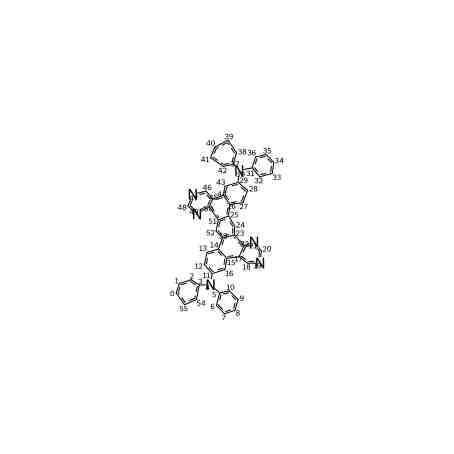 c1ccc(N(c2ccccc2)c2ccc3c(c2)c2cncnc2c2cc4c5ccc(N(c6ccccc6)c6ccccc6)cc5c5cncnc5c4cc32)cc1